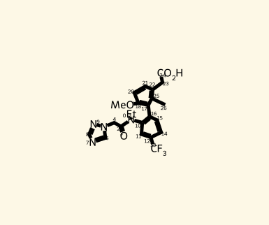 CCN(C(=O)Cn1cncn1)c1cc(C(F)(F)F)ccc1-c1c(OC)ccc(CC(=O)O)c1C